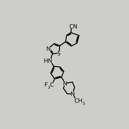 CN1CCN(c2ccc(Nc3ncc(-c4cccc(C#N)c4)s3)cc2C(F)(F)F)CC1